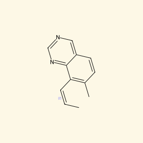 C/C=C\c1c(C)ccc2cncnc12